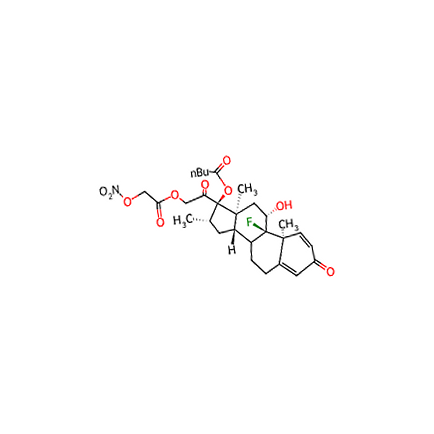 CCCCC(=O)O[C@]1(C(=O)COC(=O)CO[N+](=O)[O-])[C@@H](C)C[C@H]2C3CCC4=CC(=O)C=C[C@]4(C)[C@@]3(F)[C@@H](O)C[C@@]21C